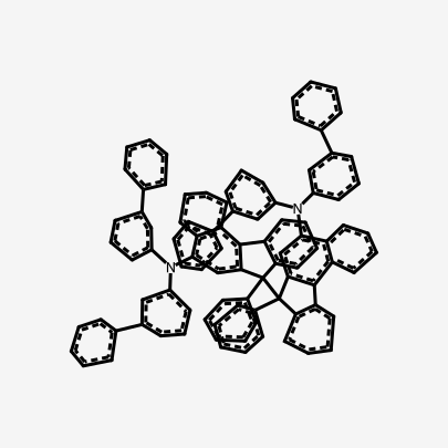 c1ccc(-c2cccc(N(c3cccc(-c4ccccc4)c3)c3cc4c(c5ccccc35)-c3ccccc3C4(c3ccccc3)C3(c4ccccc4)c4ccccc4-c4c3cc(N(c3cccc(-c5ccccc5)c3)c3cccc(-c5ccccc5)c3)c3ccccc43)c2)cc1